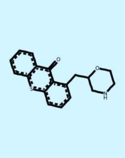 O=c1c2ccccc2sc2cccc(CC3CNCCO3)c12